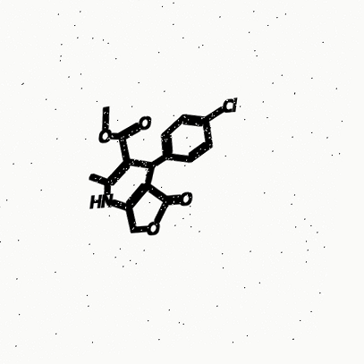 COC(=O)C1=C(C)NC2=C(C(=O)OC2)C1c1ccc(Cl)cc1